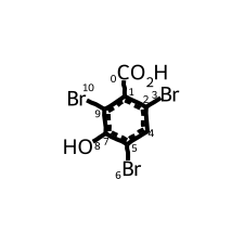 O=C(O)c1c(Br)cc(Br)c(O)c1Br